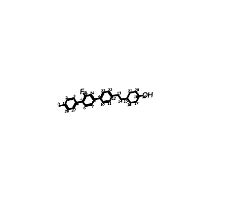 Cc1ccc(-c2ccc(-c3ccc(CCC4CCC(O)CC4)cc3)cc2F)cc1